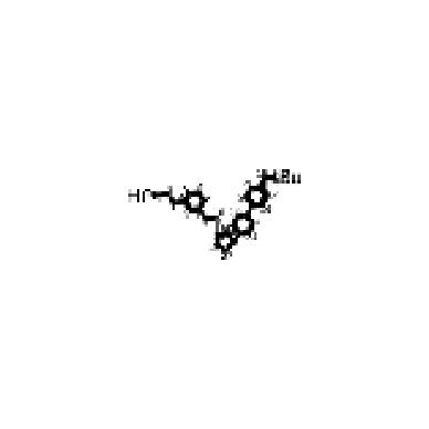 C#CCCc1cccc(CCN2c3cc(-c4ccc(CC(C)(C)C)cc4)ccc3C3CCC2C3)c1